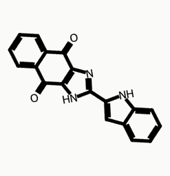 O=C1c2ccccc2C(=O)c2[nH]c(-c3cc4ccccc4[nH]3)nc21